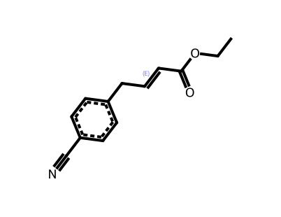 CCOC(=O)/C=C/Cc1ccc(C#N)cc1